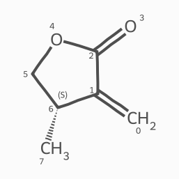 C=C1C(=O)OC[C@H]1C